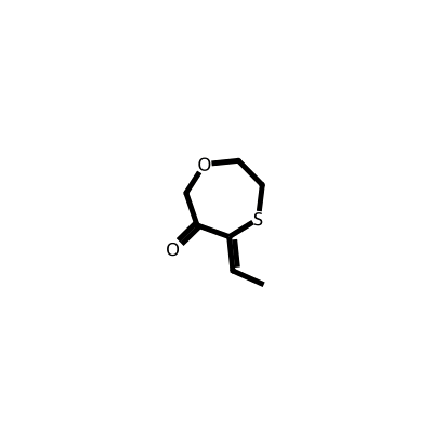 CC=C1SCCOCC1=O